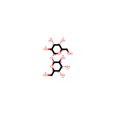 OCC1O[C@H](O[C@@H]2OC(CO)[C@@H](O)[C@@H](O)C2O)C(O)[C@H](O)[C@@H]1O